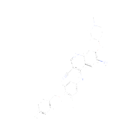 CN1CCC(Oc2cc3ncc(C#N)c(Nc4ccc(OCc5ccc(Cl)cc5)c(Cl)c4)c3cc2N)CC1